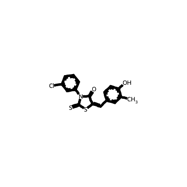 Cc1cc(/C=C2/SC(=S)N(c3cccc(Cl)c3)C2=O)ccc1O